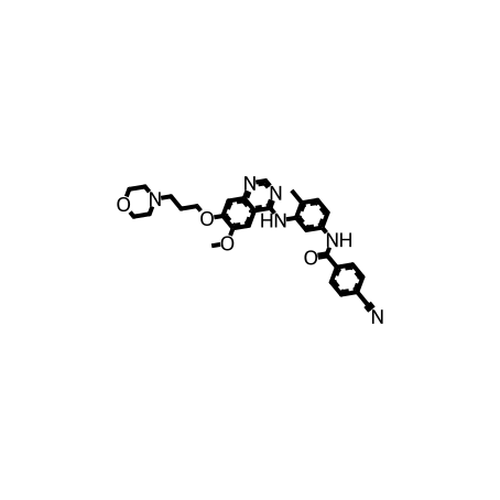 COc1cc2c(Nc3cc(NC(=O)c4ccc(C#N)cc4)ccc3C)ncnc2cc1OCCCN1CCOCC1